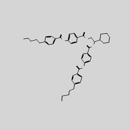 CCCCCc1ccc(C(=O)Oc2ccc(C(=O)OCC(OC(=O)c3ccc(OC(=O)c4ccc(CCCCC)cc4)cc3)C3CCCCC3)cc2)cc1